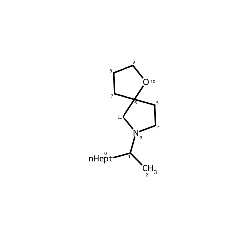 CCCCCCCC(C)N1CCC2(CCCO2)C1